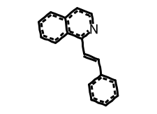 C(=C\c1nccc2ccccc12)/c1ccccc1